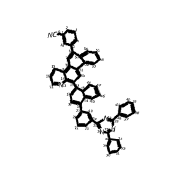 N#Cc1cccc(-c2cc3c4cccnc4c(-c4ccc(-c5cccc(-c6nc(-c7ccccc7)nc(-c7ccccc7)n6)c5)c5ccccc45)cc3c3ccccc23)c1